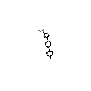 Nc1nc(-c2ccc(-c3ccc(I)cc3)cc2)cs1